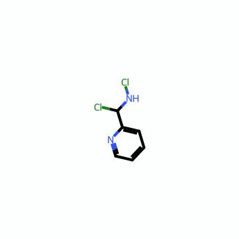 ClNC(Cl)c1ccccn1